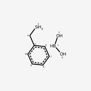 OBO.[SiH3]Cc1ccccc1